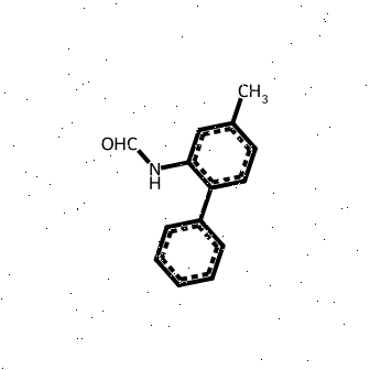 Cc1ccc(-c2ccccc2)c(NC=O)c1